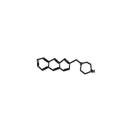 c1ccc2cc3cc(CN4CCNCC4)ccc3cc2c1